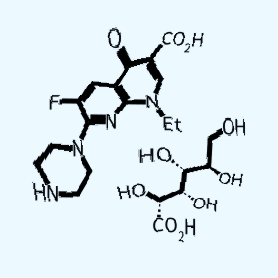 CCn1cc(C(=O)O)c(=O)c2cc(F)c(N3CCNCC3)nc21.O=C(O)[C@H](O)[C@@H](O)[C@H](O)[C@H](O)CO